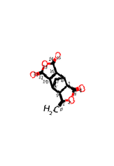 C=C1OC(=O)C2C3CC(C12)C1C(=O)OC(=O)C31